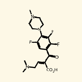 CN(C)CC=C(C(=O)O)C(=O)c1cc(F)c(N2CCN(C)CC2)c(F)c1F